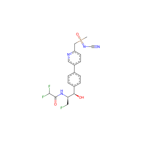 CS(=O)(Cc1ccc(-c2ccc([C@@H](O)[C@@H](CF)NC(=O)C(F)F)cc2)cn1)=NC#N